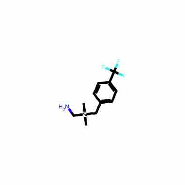 C[Si](C)(CN)Cc1ccc(C(F)(F)F)cc1